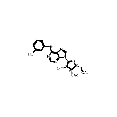 CC(=O)OC[C@H]1O[C@@H](n2cnc3c(Nc4cccc(O)c4)ncnc32)[C@H](OC(C)=O)[C@@H]1OC(C)=O